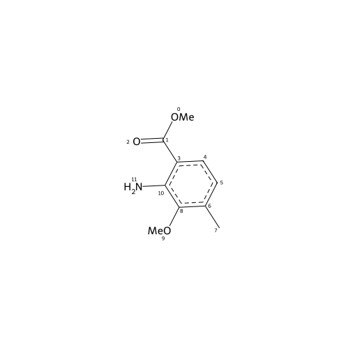 COC(=O)c1ccc(C)c(OC)c1N